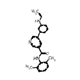 C=CNc1cccc(-c2cncc(C(=O)Nc3c(C)cccc3C)c2)c1